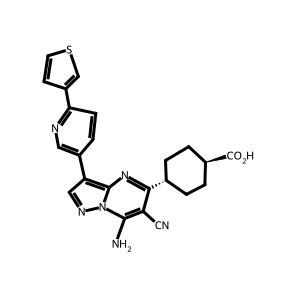 N#Cc1c(N)n2ncc(-c3ccc(-c4ccsc4)nc3)c2nc1[C@H]1CC[C@H](C(=O)O)CC1